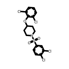 O=S(=O)(c1ccc(Cl)c(Cl)c1)N1CCC(Oc2c(Cl)cccc2Cl)CC1